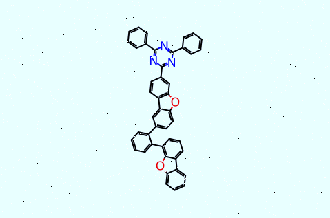 c1ccc(-c2nc(-c3ccccc3)nc(-c3ccc4c(c3)oc3ccc(-c5ccccc5-c5cccc6c5oc5ccccc56)cc34)n2)cc1